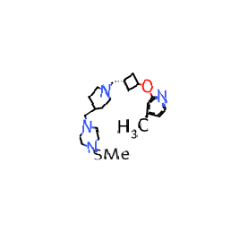 CSN1CCN(CC2CCN(C[C@H]3C[C@H](Oc4cc(C)ccn4)C3)CC2)CC1